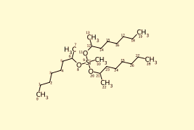 CCCCCCC(C)O[Si](C)(OC(C)CCCCCC)OC(C)CCCCCC